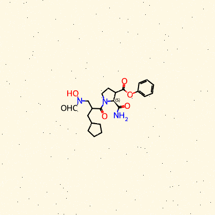 NC(=O)[C@@H]1C(C(=O)Oc2ccccc2)CCN1C(=O)C(CC1CCCC1)CN(O)C=O